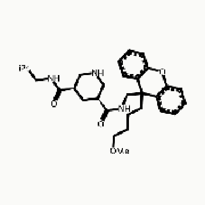 COCCCCC1(CNC(=O)[C@@H]2CNC[C@H](C(=O)NCC(C)C)C2)c2ccccc2Oc2ccccc21